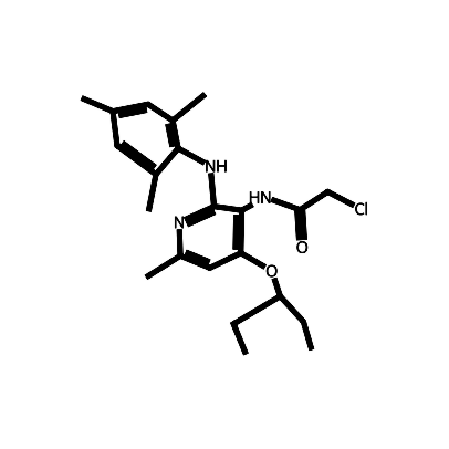 CCC(CC)Oc1cc(C)nc(Nc2c(C)cc(C)cc2C)c1NC(=O)CCl